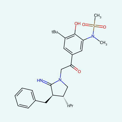 CCC[C@H]1CN(CC(=O)c2cc(N(C)S(C)(=O)=O)c(O)c(C(C)(C)C)c2)C(=N)[C@@H]1Cc1ccccc1